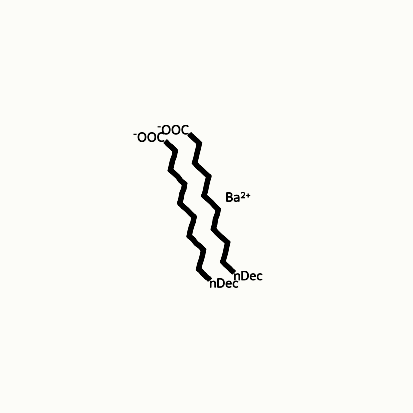 CCCCCCCCCCCCCCCCCCC(=O)[O-].CCCCCCCCCCCCCCCCCCC(=O)[O-].[Ba+2]